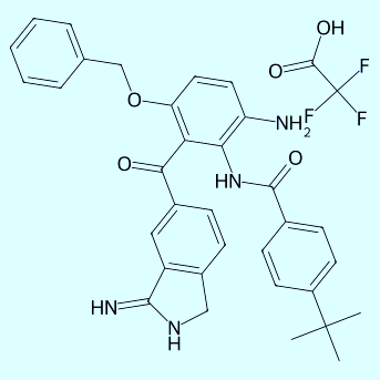 CC(C)(C)c1ccc(C(=O)Nc2c(N)ccc(OCc3ccccc3)c2C(=O)c2ccc3c(c2)C(=N)NC3)cc1.O=C(O)C(F)(F)F